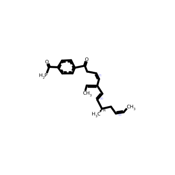 CC=C(/C=C\CC(=O)c1ccc(C(=O)P)cc1)/C=C/[C@H](C)C/C=C\C